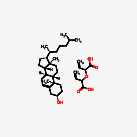 C=CC(OC(C=C)C(=O)O)C(=O)O.CC(C)CCC[C@@H](C)[C@H]1CC[C@H]2[C@@H]3CC=C4C[C@@H](O)CC[C@]4(C)[C@H]3CC[C@]12C